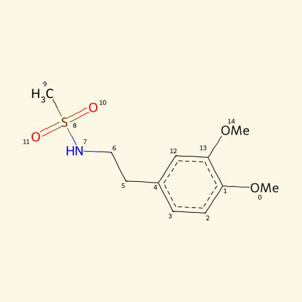 COc1ccc(CCNS(C)(=O)=O)cc1OC